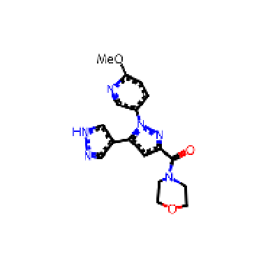 COc1ccc(-n2nc(C(=O)N3CCOCC3)cc2-c2cn[nH]c2)cn1